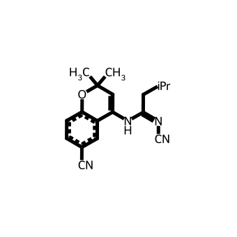 CC(C)C/C(=N/C#N)NC1=CC(C)(C)Oc2ccc(C#N)cc21